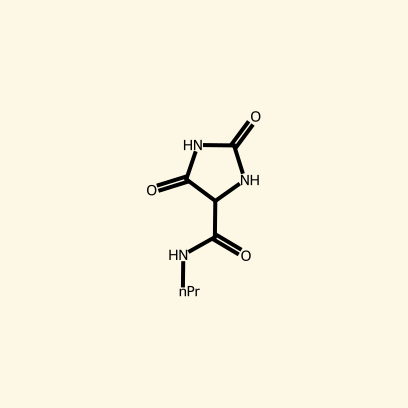 CCCNC(=O)C1NC(=O)NC1=O